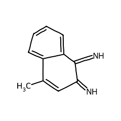 CC1=CC(=N)C(=N)c2ccccc21